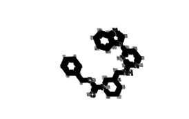 O=C(OCc1ccccc1)N1CCCC(CNc2nccc(-n3cnc4ccccc43)n2)C1